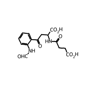 O=CNc1ccccc1C(=O)CC(NC(=O)CCC(=O)O)C(=O)O